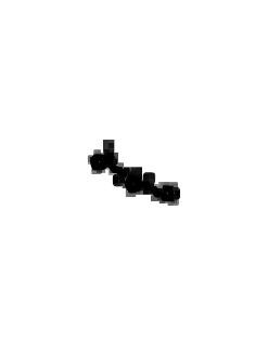 O=C(C=Cc1n[nH]c2ccccc12)Nc1cccc(C(=O)NCCN2CCOCC2)c1